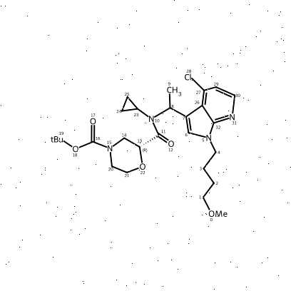 COCCCCn1cc(C(C)N(C(=O)[C@H]2CN(C(=O)OC(C)(C)C)CCO2)C2CC2)c2c(Cl)ccnc21